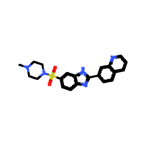 CN1CCN(S(=O)(=O)c2ccc3nc(-c4ccc5cccnc5c4)[nH]c3c2)CC1